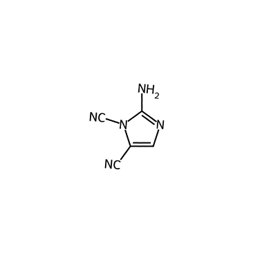 N#Cc1cnc(N)n1C#N